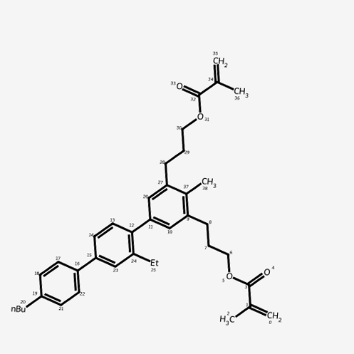 C=C(C)C(=O)OCCCc1cc(-c2ccc(-c3ccc(CCCC)cc3)cc2CC)cc(CCCOC(=O)C(=C)C)c1C